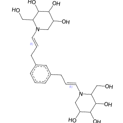 OCC1C(O)C(O)C(O)CN1/C=C/Cc1cccc(C/C=C/N2CC(O)C(O)C(O)C2CO)c1